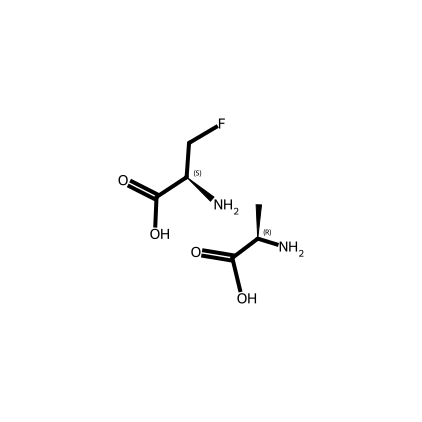 C[C@@H](N)C(=O)O.N[C@H](CF)C(=O)O